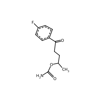 CC(CCC(=O)c1ccc(F)cc1)OC(N)=O